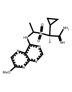 COc1cnc2c(NC(C)S(=O)(=O)[C@](C)(C(=N)N)C3CC3)ncnc2n1